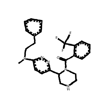 CN(CCc1ccccc1)c1ccc(C2CNCCN2C(=O)c2ccccc2C(F)(F)F)nn1